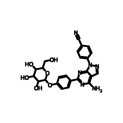 N#Cc1ccc(-n2ncc3c(N)nc(-c4ccc(OC5OC(CO)C(O)C(O)C5O)cc4)nc32)cc1